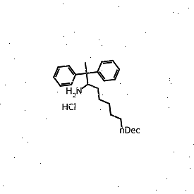 CCCCCCCCCCCCCCCC(N)C(C)(c1ccccc1)c1ccccc1.Cl